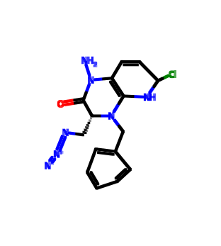 [N-]=[N+]=NC[C@@H]1C(=O)N(N)C2=C(NC(Cl)C=C2)N1Cc1ccccc1